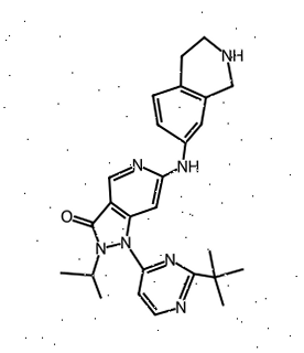 CC(C)n1c(=O)c2cnc(Nc3ccc4c(c3)CNCC4)cc2n1-c1ccnc(C(C)(C)C)n1